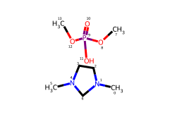 CN1CCN(C)C1.COP(=O)(O)OC